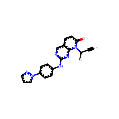 C#CC(CC)n1c(=O)ccc2cnc(Nc3ccc(-n4cccn4)cc3)nc21